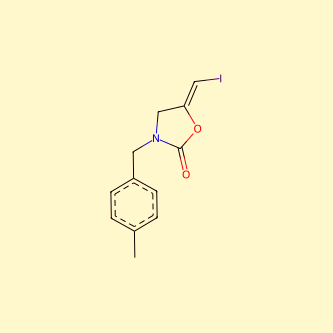 Cc1ccc(CN2C/C(=C/I)OC2=O)cc1